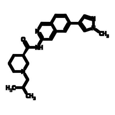 CC(C)CN1CCC[C@@H](C(=O)Nc2cc3cc(-c4cnn(C)c4)ccc3cn2)C1